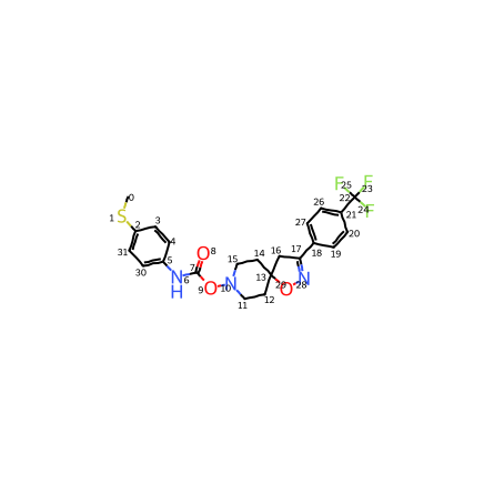 CSc1ccc(NC(=O)ON2CCC3(CC2)CC(c2ccc(C(F)(F)F)cc2)=NO3)cc1